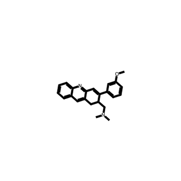 COc1cccc(C2=Cc3nc4ccccc4cc3CC2CN(C)C)c1